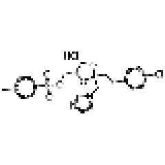 Cc1ccc(S(=O)(=O)OC[C@@H]2CO[C@](CCc3ccc(Cl)cc3)(Cn3ccnc3)O2)cc1.Cl